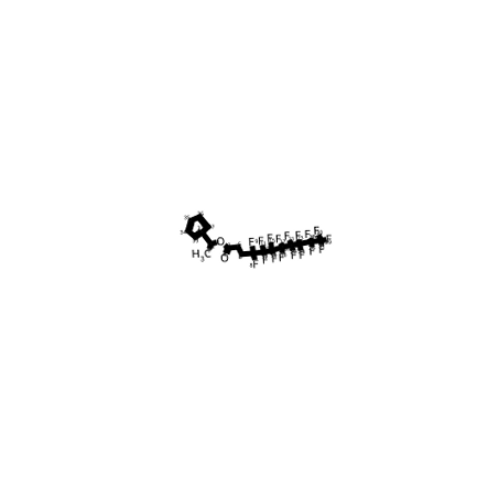 CC(OC(=O)CCC(F)(F)C(F)(F)C(F)(F)C(F)(F)C(F)(F)C(F)(F)C(F)(F)C(F)(F)F)c1ccccc1